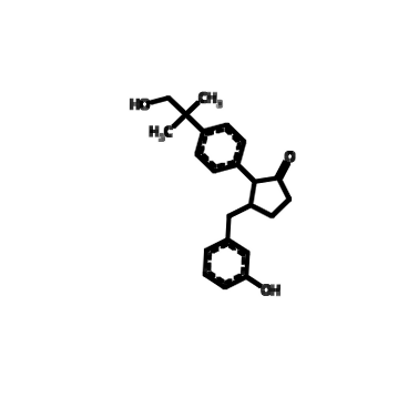 CC(C)(CO)c1ccc(C2C(=O)CCC2Cc2cccc(O)c2)cc1